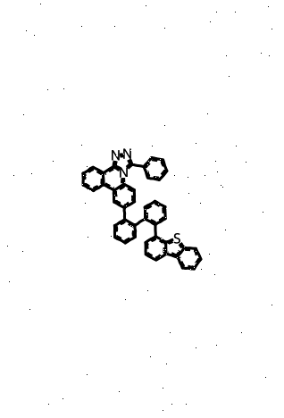 c1ccc(-c2nnc3c4ccccc4c4cc(-c5ccccc5-c5ccccc5-c5cccc6c5sc5ccccc56)ccc4n23)cc1